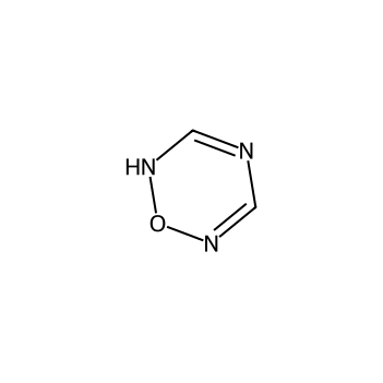 C1=NC=NON1